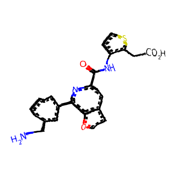 NCc1cccc(-c2nc(C(=O)Nc3ccsc3CC(=O)O)cc3ccoc23)c1